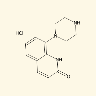 Cl.O=c1ccc2cccc(N3CCNCC3)c2[nH]1